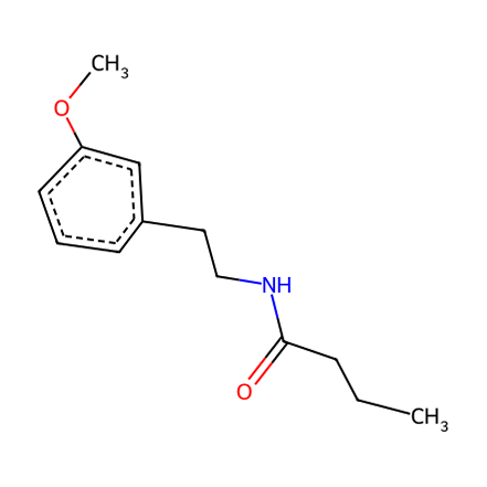 CCCC(=O)NCCc1cccc(OC)c1